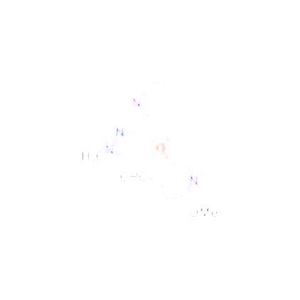 COc1cc(C=O)c(OCc2cccnc2-c2ccn(C)n2)cn1